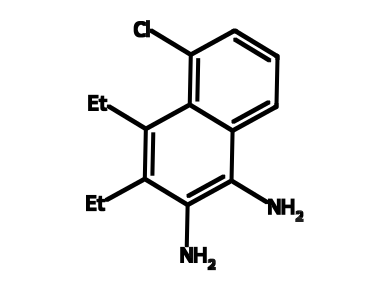 CCc1c(N)c(N)c2cccc(Cl)c2c1CC